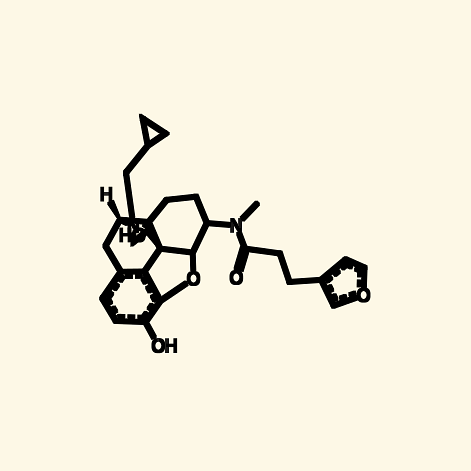 CN(C(=O)CCc1ccoc1)C1CC[C@@]2(O)[C@H]3Cc4ccc(O)c5c4[C@@]2(CCN3CC2CC2)C1O5